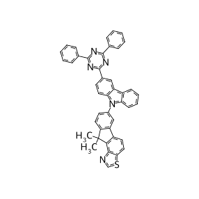 CC1(C)c2ccc(-n3c4ccccc4c4cc(-c5nc(-c6ccccc6)nc(-c6ccccc6)n5)ccc43)cc2-c2ccc3scnc3c21